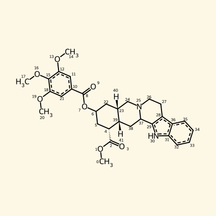 COC(=O)[C@@H]1CC(OC(=O)c2cc(OC)c(OC)c(OC)c2)C[C@@H]2CN3CCc4c([nH]c5ccccc45)C3C[C@@H]21